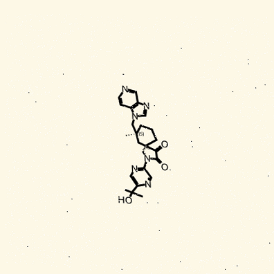 CC(C)(O)c1cnc(N2C[C@]3(CCC[C@](C)(Cn4cnc5cnccc54)C3)C(=O)C2=O)cn1